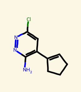 Nc1nnc(Cl)cc1C1=CCCC1